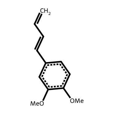 C=C/C=C/c1ccc(OC)c(OC)c1